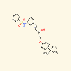 CC(C)(C(=O)O)c1ccc(OCC[C@@H](O)/C=C/c2cccc(NS(=O)(=O)c3ccccc3)c2)cc1